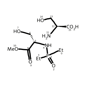 CCP(=O)(CC)N[C@@H](CO)C(=O)OC.N[C@@H](CO)C(=O)O